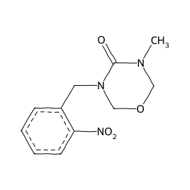 CN1COCN(Cc2ccccc2[N+](=O)[O-])C1=O